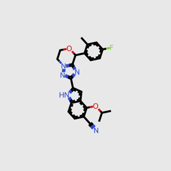 Cc1cc(F)ccc1C1OCCn2nc(-c3cc4c(OC(C)C)c(C#N)ccc4[nH]3)nc21